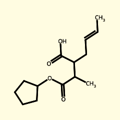 CC=CCC(C(=O)O)C(C)C(=O)OC1CCCC1